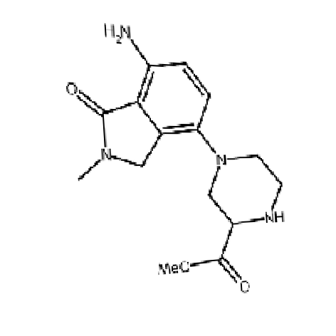 COC(=O)C1CN(c2ccc(N)c3c2CN(C)C3=O)CCN1